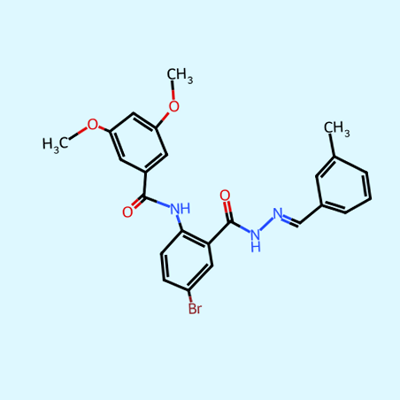 COc1cc(OC)cc(C(=O)Nc2ccc(Br)cc2C(=O)N/N=C/c2cccc(C)c2)c1